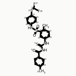 Cc1ccc(C(=O)NC(=S)Nc2ccc(C)c(S(=O)(=O)Nc3ccc(SC(F)F)cc3)c2)cc1